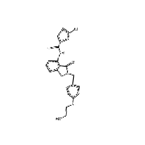 O=C(Nc1cccc2c1C(=O)N(Cc1ccc(NCCO)cc1)C2)c1ccc(Cl)s1